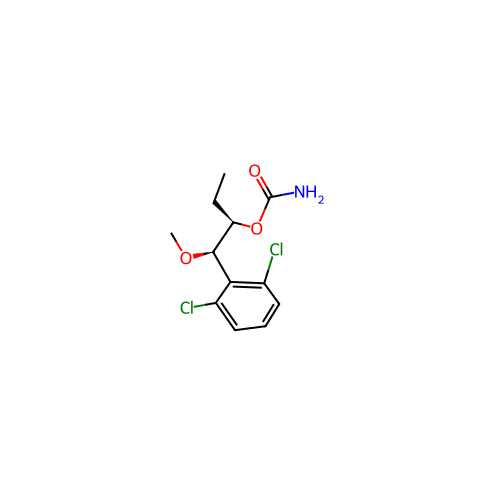 CC[C@@H](OC(N)=O)[C@H](OC)c1c(Cl)cccc1Cl